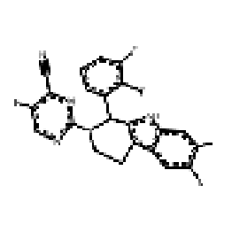 N#Cc1nc(N2CCc3c([nH]c4cc(F)c(Cl)cc34)C2c2cccc(F)c2F)ncc1F